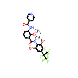 COc1c(NC(=O)c2ccncc2)cccc1C(=O)N(C)c1c(Br)cc(C(F)(C(F)(F)F)C(F)(F)F)cc1Br